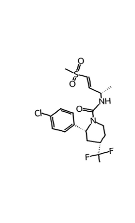 C[C@@H](/C=C/S(C)(=O)=O)NC(=O)N1CC[C@H](C(C)(F)F)C[C@@H]1c1ccc(Cl)cc1